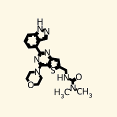 CN(C)C(=O)NCc1cc2nc(-c3cccc4[nH]ncc34)nc(N3CCOCC3)c2s1